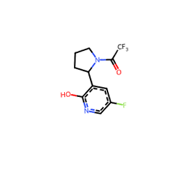 O=C(N1CCCC1c1cc(F)cnc1O)C(F)(F)F